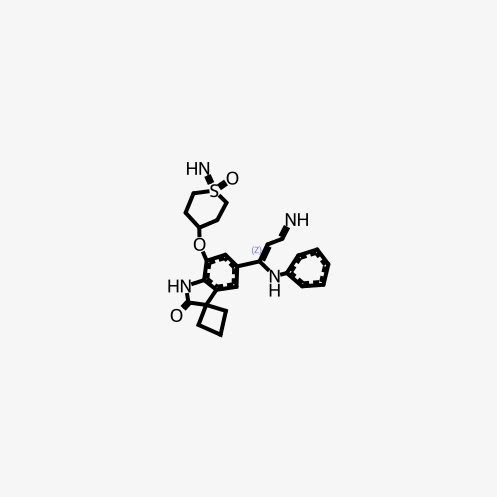 N=C/C=C(\Nc1ccccc1)c1cc(OC2CCS(=N)(=O)CC2)c2c(c1)C1(CCC1)C(=O)N2